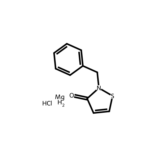 Cl.O=c1ccsn1Cc1ccccc1.[MgH2]